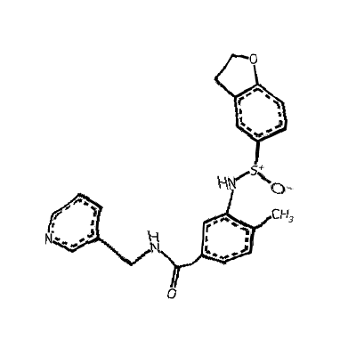 Cc1ccc(C(=O)NCc2cccnc2)cc1N[S+]([O-])c1ccc2c(c1)CCO2